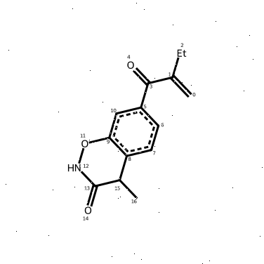 C=C(CC)C(=O)c1ccc2c(c1)ONC(=O)C2C